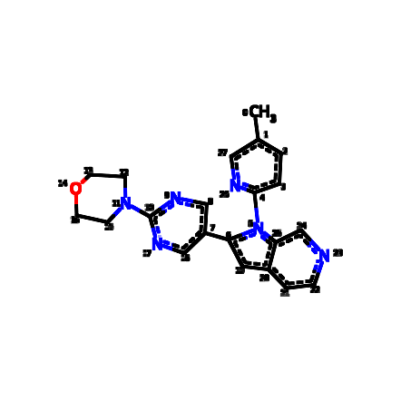 Cc1ccc(-n2c(-c3cnc(N4CCOCC4)nc3)cc3ccncc32)nc1